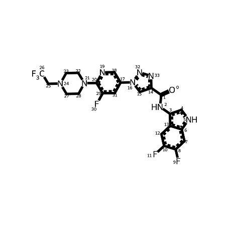 O=C(Nc1c[nH]c2cc(F)c(F)cc12)c1cn(-c2cnc(N3CCN(CC(F)(F)F)CC3)c(F)c2)nn1